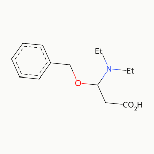 CCN(CC)C(CC(=O)O)OCc1ccccc1